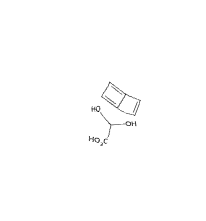 O=C(O)C(O)O.c1cc2ccc1-2